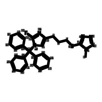 Cn1nnnc1SCCCc1cn(C(c2ccccc2)(c2ccccc2)c2ccccc2)c(F)n1